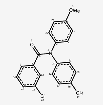 COc1ccc(N(C(=O)c2cccc(Cl)c2)c2ccc(O)cc2)cc1